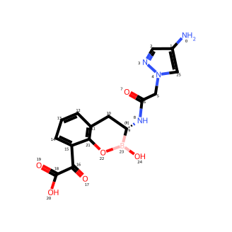 Nc1cnn(CC(=O)N[C@H]2Cc3cccc(C(=O)C(=O)O)c3OB2O)c1